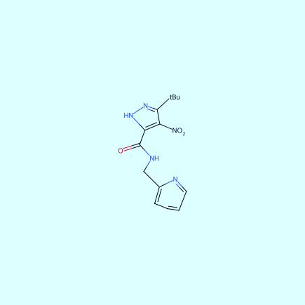 CC(C)(C)c1n[nH]c(C(=O)NCc2ccccn2)c1[N+](=O)[O-]